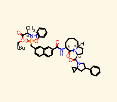 C[C@H](NP(=O)(Cc1ccc2ccc(C(=O)N[C@H]3CCCC[C@H]4CC[C@@H](C(=O)N5CC(c6ccccc6)CC56CC6)N4C3=O)cc2c1)Oc1ccccc1)C(=O)OCC(C)(C)C